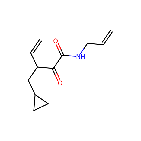 C=CCNC(=O)C(=O)C(C=C)CC1CC1